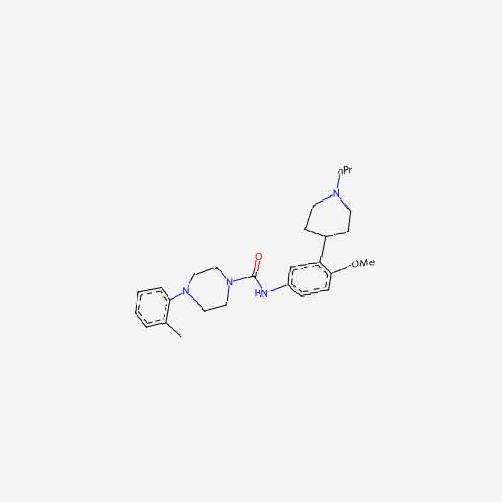 CCCN1CCC(c2cc(NC(=O)N3CCN(c4ccccc4C)CC3)ccc2OC)CC1